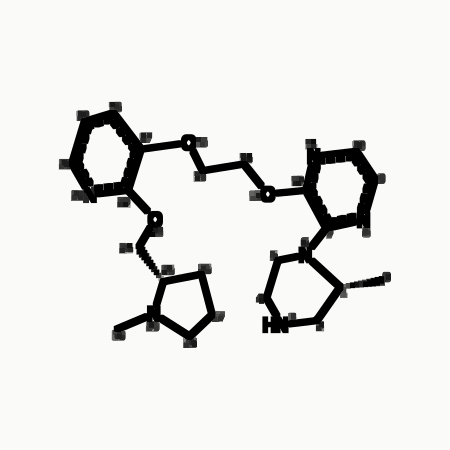 C[C@@H]1CNCCN1c1nccnc1OCCOc1cccnc1OC[C@@H]1CCCN1C